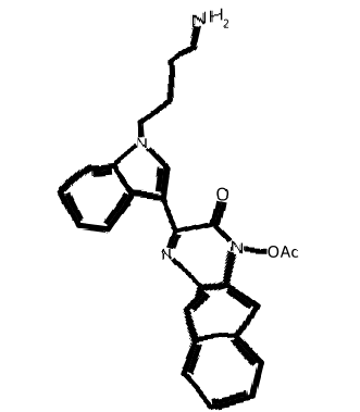 CC(=O)On1c(=O)c(-c2cn(CCCCN)c3ccccc23)nc2cc3ccccc3cc21